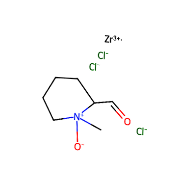 C[N+]1([O-])CCCCC1C=O.[Cl-].[Cl-].[Cl-].[Zr+3]